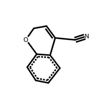 N#CC1=CCOc2ccccc21